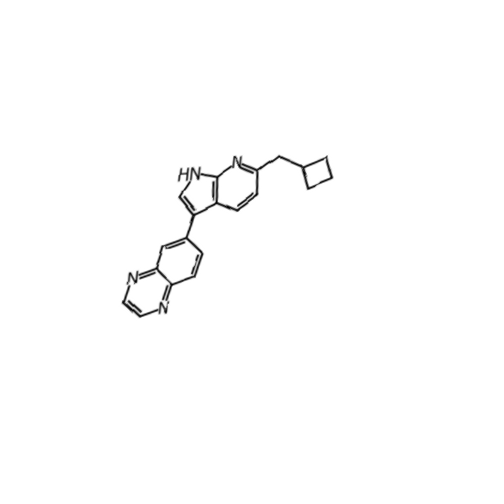 c1cnc2cc(-c3c[nH]c4nc(CC5CCC5)ccc34)ccc2n1